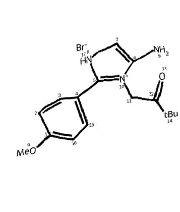 COc1ccc(-c2[nH]cc(N)[n+]2CC(=O)C(C)(C)C)cc1.[Br-]